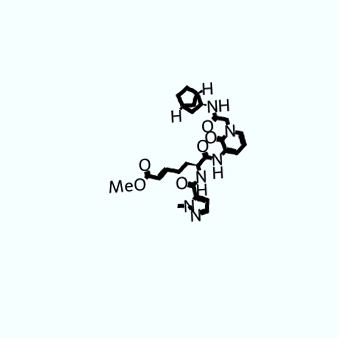 COC(=O)/C=C/CC[C@H](NC(=O)c1ccnn1C)C(=O)Nc1cccn(CC(=O)N[C@@H]2C[C@@H]3CC[C@H]2C3)c1=O